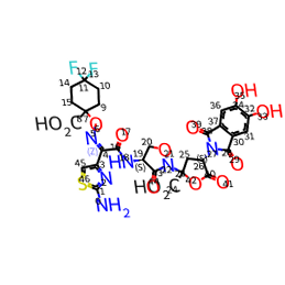 Nc1nc(/C(=N/OC2(C(=O)O)CCC(F)(F)CC2)C(=O)N[C@H]2CON(C3(C(=O)O)C[C@H](N4C(=O)c5cc(O)c(O)cc5C4=O)C(=O)O3)C2=O)cs1